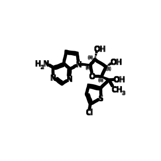 CC(O)(c1ccc(Cl)s1)[C@H]1O[C@@H](n2ccc3c(N)ncnc32)[C@H](O)[C@@H]1O